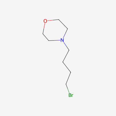 BrCCCCN1CCOCC1